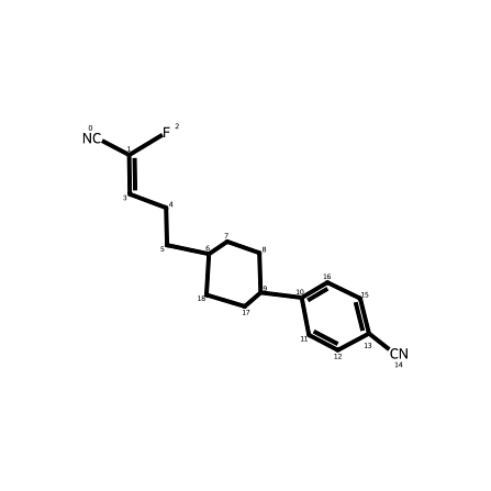 N#CC(F)=CCCC1CCC(c2ccc(C#N)cc2)CC1